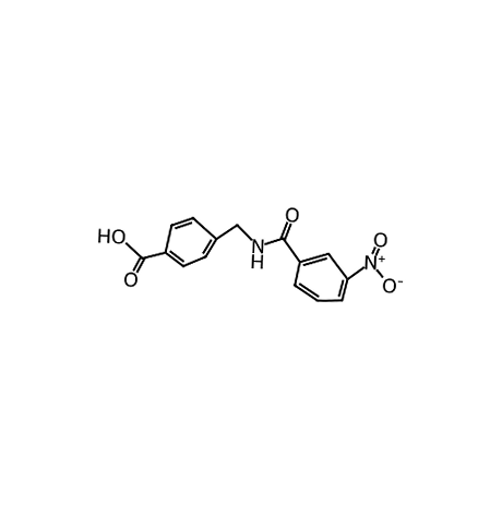 O=C(O)c1ccc(CNC(=O)c2cccc([N+](=O)[O-])c2)cc1